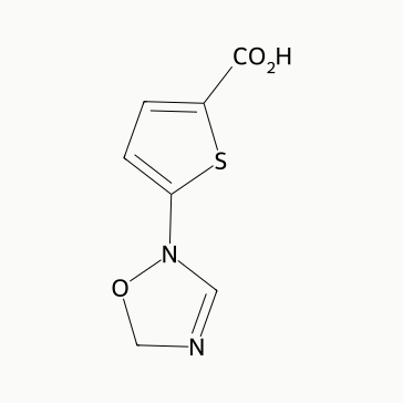 O=C(O)c1ccc(N2C=NCO2)s1